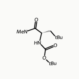 CNC(=O)[C@H](CC(C)(C)C)NC(=O)OC(C)(C)C